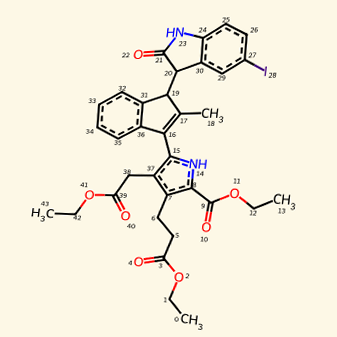 CCOC(=O)CCc1c(C(=O)OCC)[nH]c(C2=C(C)C(C3C(=O)Nc4ccc(I)cc43)c3ccccc32)c1CC(=O)OCC